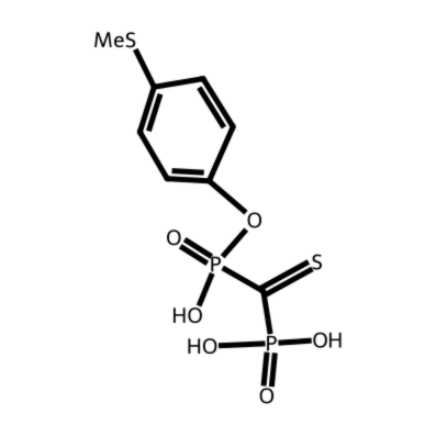 CSc1ccc(OP(=O)(O)C(=S)P(=O)(O)O)cc1